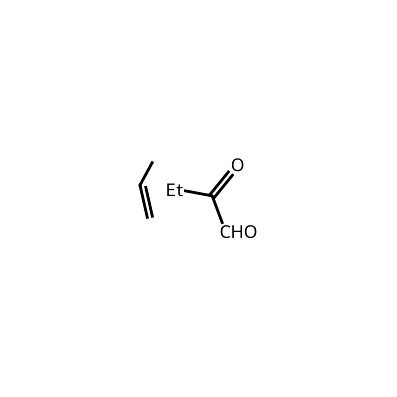 C=CC.CCC(=O)C=O